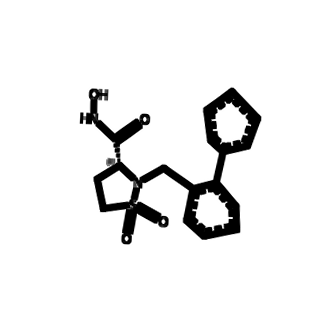 O=C(NO)[C@H]1CCS(=O)(=O)N1Cc1ccccc1-c1ccccc1